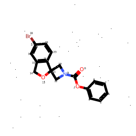 O=C(Oc1ccccc1)N1CC2(C1)OCc1cc(Br)ccc12